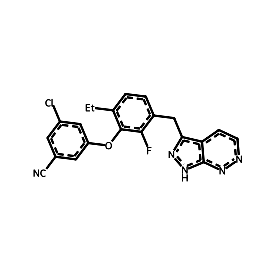 CCc1ccc(Cc2n[nH]c3nnccc23)c(F)c1Oc1cc(Cl)cc(C#N)c1